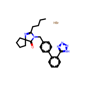 Br.CCCCC1=NC2(CCCC2)C(=O)N1Cc1ccc(-c2ccccc2-c2nnn[nH]2)cc1